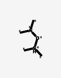 [CH3][Al]([CH3])[O][SiH](C)C